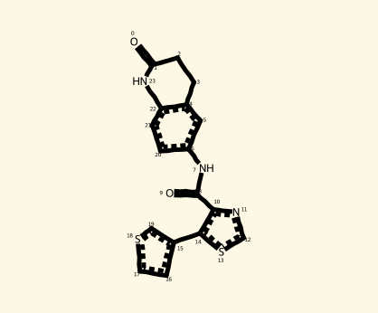 O=C1CCc2cc(NC(=O)c3ncsc3-c3ccsc3)ccc2N1